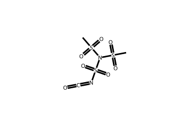 CS(=O)(=O)N(S(C)(=O)=O)S(=O)(=O)N=C=O